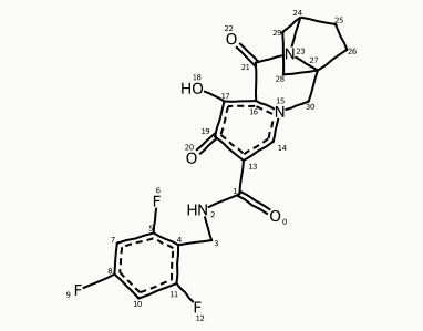 O=C(NCc1c(F)cc(F)cc1F)c1cn2c(c(O)c1=O)C(=O)N1C3CCC1(CC3)C2